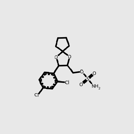 NS(=O)(=O)OCC1OC2(CCCC2)OC1c1ccc(Cl)cc1Cl